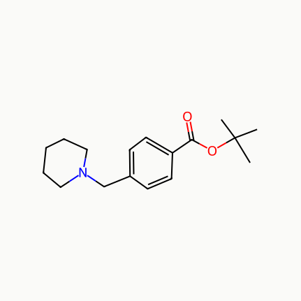 CC(C)(C)OC(=O)c1ccc(CN2CCCCC2)cc1